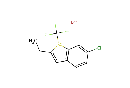 CCc1cc2ccc(Cl)cc2[s+]1C(F)(F)F.[Br-]